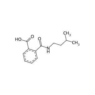 CC(C)CCNC(=O)c1ccccc1C(=O)O